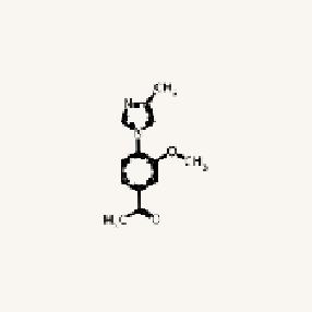 COc1cc(C(C)=O)ccc1-n1cnc(C)c1